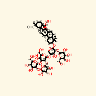 CC1(C)[C@@H](O[C@@H]2OC[C@H](O[C@@H]3O[C@H](CO)[C@@H](O)[C@H](O[C@@H]4O[C@H](CO)[C@@H](O)[C@H](O)[C@H]4O)[C@H]3O[C@@H]3OC[C@@H](O)[C@H](O)[C@H]3O)[C@H](O)[C@H]2O[C@@H]2O[C@H](CO)[C@@H](O)[C@H](O)[C@H]2O)CC[C@]2(C)[C@H]3CC[C@]45OC[C@@]6(CC[C@](C)(C=O)C[C@H]64)[C@H](O)C[C@@]5(C)[C@]3(C)CC[C@@H]12